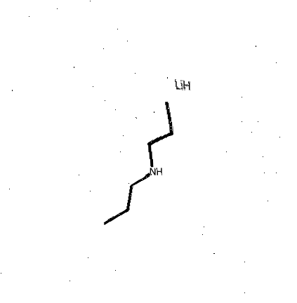 CCCNCCC.[LiH]